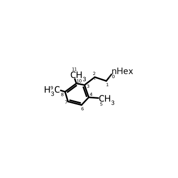 CCCCCCC[CH]c1c(C)ccc(C)c1C